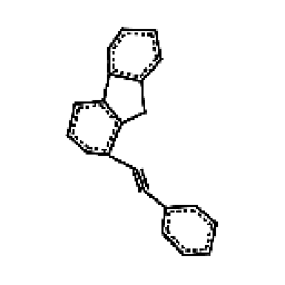 C(#Cc1cccc2c1Cc1ccccc1-2)c1ccccc1